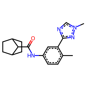 Cc1ccc(NC(=O)C2C3CCC2CC3)cc1-c1ncn(C)n1